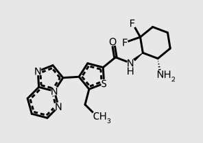 CCc1sc(C(=O)N[C@@H]2[C@@H](N)CCCC2(F)F)cc1-c1cnc2cccnn12